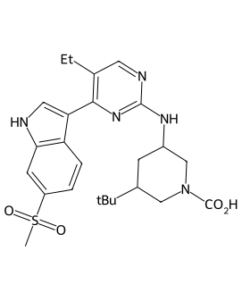 CCc1cnc(NC2CC(C(C)(C)C)CN(C(=O)O)C2)nc1-c1c[nH]c2cc(S(C)(=O)=O)ccc12